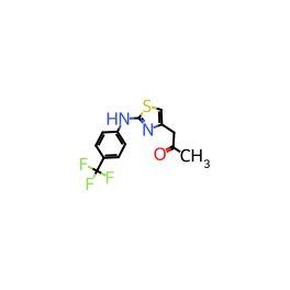 CC(=O)Cc1csc(Nc2ccc(C(F)(F)F)cc2)n1